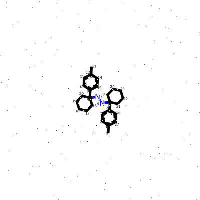 Cc1ccc(C2(N=NC3(c4ccc(C)cc4)CCCCC3)CCCCC2)cc1